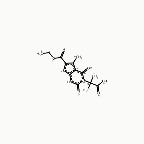 CCOC(=O)c1sc2[nH]c(=O)n(C(C)(C)C(=O)O)c(=O)c2c1C